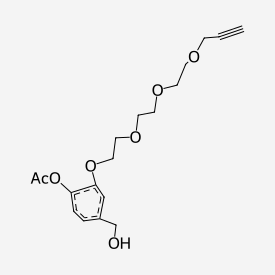 C#CCOCCOCCOCCOc1cc(CO)ccc1OC(C)=O